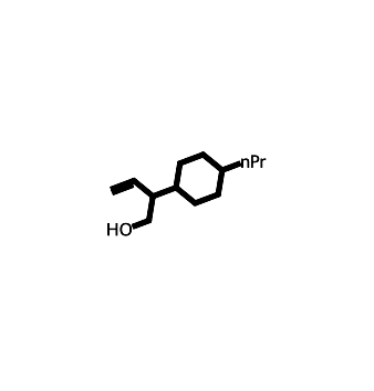 C=CC(CO)C1CCC(CCC)CC1